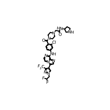 O=C(CN1CCN(C(=O)c2ccc(Nc3nccn4c(-c5cn(CC(F)F)nc5C(F)(F)F)cnc34)cc2Cl)CC1)N[C@H]1CCNC1